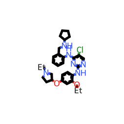 CCOc1cc(OC2CCN(CC)C2)ccc1Nc1ncc(Cl)c(Nc2ccccc2CNC2CCCC2)n1